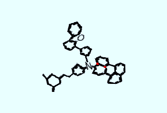 C=C1CC(C)CC(CCc2ccc(N(c3ccc(-c4cccc5cccc(-c6ccccc6)c45)cc3)c3cccc(-c4cccc5c4oc4ccccc45)c3)cc2)C1